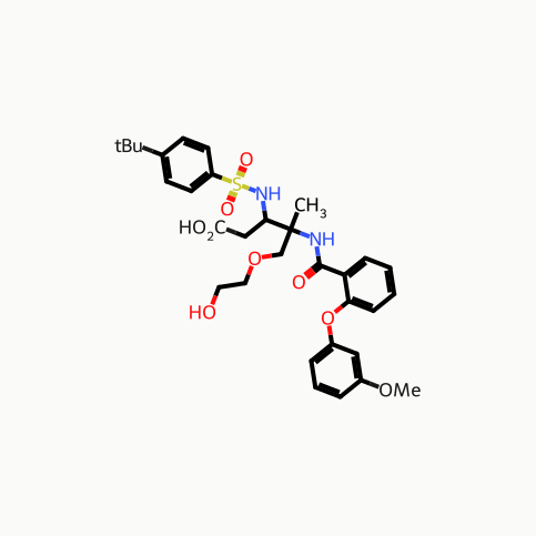 COc1cccc(Oc2ccccc2C(=O)NC(C)(COCCO)C(CC(=O)O)NS(=O)(=O)c2ccc(C(C)(C)C)cc2)c1